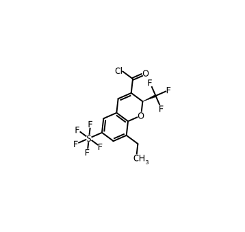 CCc1cc(S(F)(F)(F)(F)F)cc2c1O[C@H](C(F)(F)F)C(C(=O)Cl)=C2